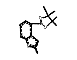 Cc1cc2c(B3OC(C)(C)C(C)(C)O3)cccc2s1